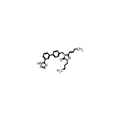 C=CCCn1nc(/C=C/CC)n(Cc2ccc(-c3cccc(-c4nnn[nH]4)c3)cc2)c1=O